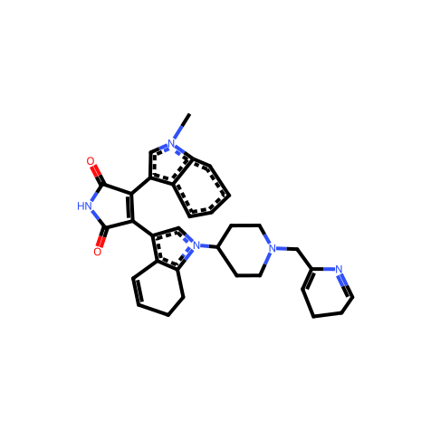 Cn1cc(C2=C(c3cn(C4CCN(CC5=CCCC=N5)CC4)c4c3C=CCC4)C(=O)NC2=O)c2ccccc21